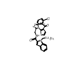 CCOC(=O)Cn1c(C(=O)NCc2nnc(C)n2-c2sccc2C(=O)c2ccccc2Cl)cc2ccccc21